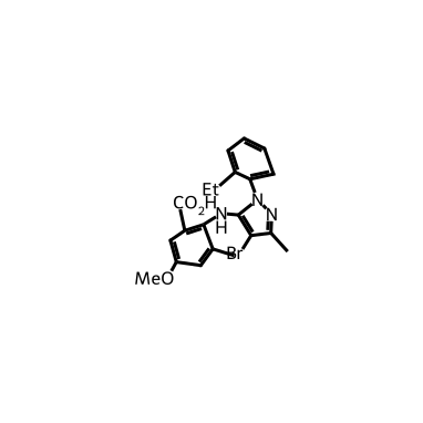 CCc1ccccc1-n1nc(C)c(Br)c1Nc1c(C)cc(OC)cc1C(=O)O